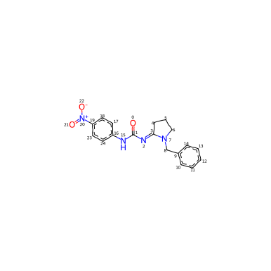 O=C(N=C1CCCN1Cc1ccccc1)Nc1ccc([N+](=O)[O-])cc1